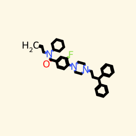 C=CCN(C(=O)c1ccc(N2CCN(CCC(c3ccccc3)c3ccccc3)CC2)c(F)c1)C1CCCCC1